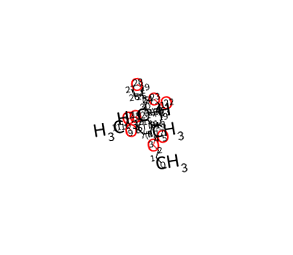 CCCOC(=O)[C@@H]1C[C@H](OC(C)=O)C(=O)C2[C@@]1(C)CC[C@H]1C(=O)O[C@H](c3ccoc3)C[C@]21C